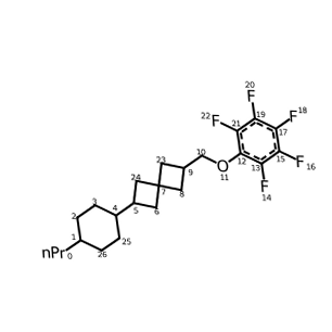 CCCC1CCC(C2CC3(CC(COc4c(F)c(F)c(F)c(F)c4F)C3)C2)CC1